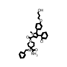 Cn1c(C(=O)N2CCC(NCc3ccccc3)(C(N)=O)CC2)cc(-c2ccccc2Cl)c1-c1ccc(OCCCO)cc1